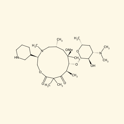 CO[C@]1(C)C[C@@H](C)CN(C)[C@H](C2CCCNC2)COC(=O)C(C)(C)C(=O)[C@H](C)[C@H]1O[C@@H]1O[C@H](C)C[C@H](N(C)C)[C@H]1O